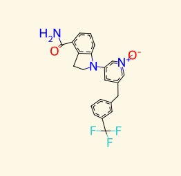 NC(=O)c1cccc2c1CCN2c1cc(Cc2cccc(C(F)(F)F)c2)c[n+]([O-])c1